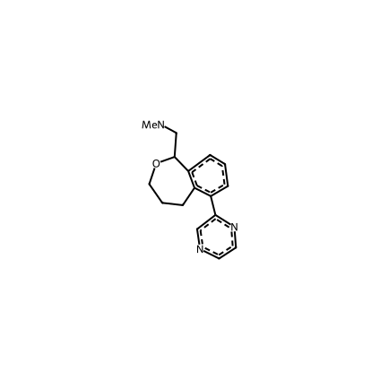 CNCC1OCCCc2c(-c3cnccn3)cccc21